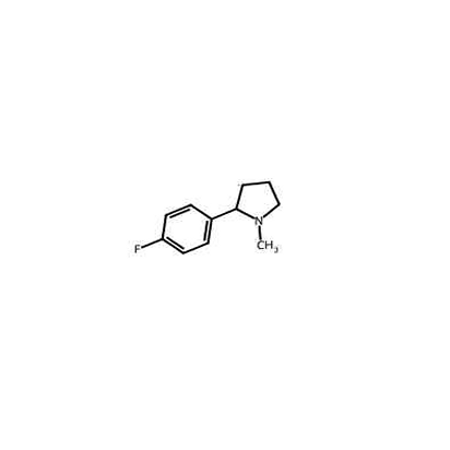 CN1CC[CH]C1c1ccc(F)cc1